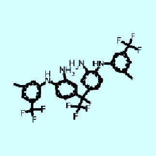 Cc1cc(Nc2ccc(C(C)(c3ccc(Nc4cc(C)cc(C(F)(F)F)c4)c(N)c3)C(F)(F)F)cc2N)cc(C(F)(F)F)c1